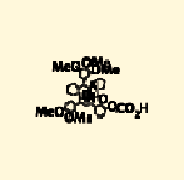 COc1ccc(CC[C@@H](NC(=O)[C@@H]2CCCCN2C(=O)C(c2cc(OC)c(OC)c(OC)c2)C2CCCCC2)c2cccc(OCC(=O)O)c2)cc1OC